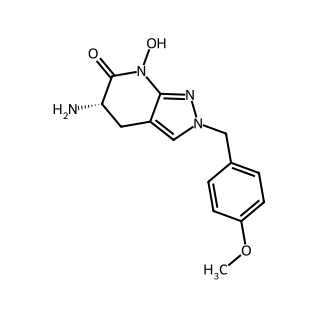 COc1ccc(Cn2cc3c(n2)N(O)C(=O)[C@@H](N)C3)cc1